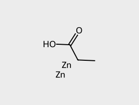 CCC(=O)O.[Zn].[Zn]